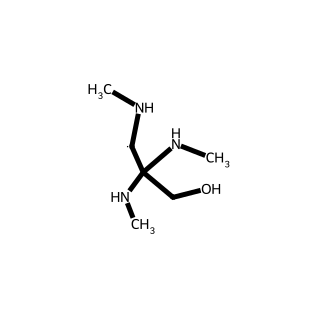 CN[CH]C(CO)(NC)NC